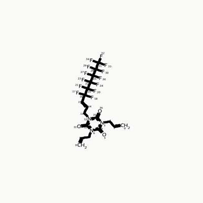 C=CCn1c(=O)n(CC=C)c(=O)n(C/C=C/C(F)(F)C(F)(F)C(F)(F)C(F)(F)C(F)(F)C(F)(F)F)c1=O